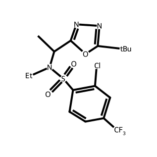 CCN(C(C)c1nnc(C(C)(C)C)o1)S(=O)(=O)c1ccc(C(F)(F)F)cc1Cl